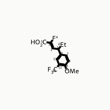 CCC(C=C(F)C(=O)O)c1ccc(OC)c(C(F)(F)F)c1